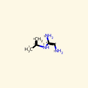 C=C(C)N/C(N)=C\N